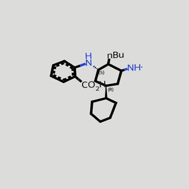 CCCCC1C([NH])C[C@@H](C2CCCCC2)C[C@@H]1Nc1ccccc1C(=O)O